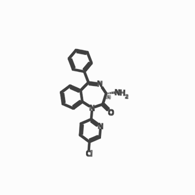 N[C@H]1N=C(c2ccccc2)c2ccccc2N(c2ccc(Cl)cn2)C1=O